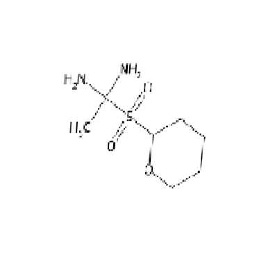 CC(N)(N)S(=O)(=O)C1CCCCO1